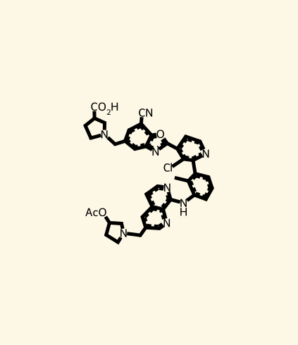 CC(=O)OC1CCN(Cc2cnc3c(Nc4cccc(-c5nccc(-c6nc7cc(CN8CCC(C(=O)O)C8)cc(C#N)c7o6)c5Cl)c4C)nccc3c2)C1